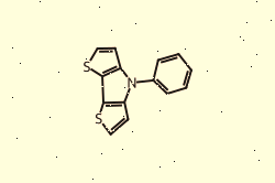 c1ccc(-n2c3ccsc3c3sccc32)cc1